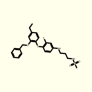 CCc1ccc(Oc2ccc(NCCCNS(C)(=O)=O)cc2F)c(OCc2ccccc2)c1